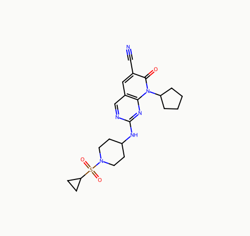 N#Cc1cc2cnc(NC3CCN(S(=O)(=O)C4CC4)CC3)nc2n(C2CCCC2)c1=O